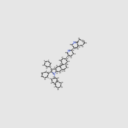 c1ccc(-c2c(-c3ccccc3)n(-c3ccc4ccccc4c3)c3cc4ccc5cc(-c6ccc(-c7cnc8ccccc8c7)nc6)ccc5c4cc23)cc1